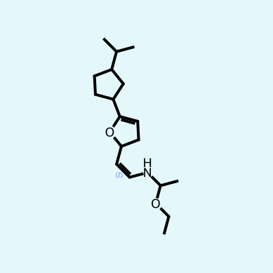 CCOC(C)N/C=C\C1CC=C(C2CCC(C(C)C)C2)O1